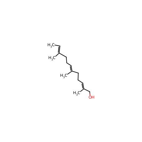 C/C=C(\C)CC/C=C(\C)CC/C=C(\C)CO